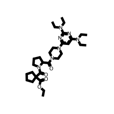 CCOC(=O)C1(C(=O)N2CCCC2C(=O)N2CCN(c3cc(N(CC)CC)nc(N(CC)CC)n3)CC2)CCCC1